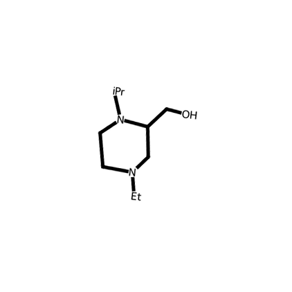 CCN1CCN(C(C)C)C(CO)C1